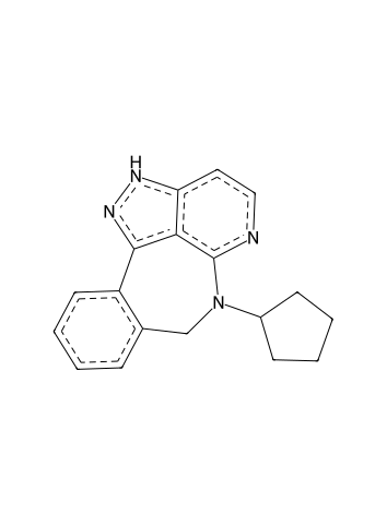 c1ccc2c(c1)CN(C1CCCC1)c1nccc3[nH]nc-2c13